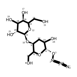 [N-]=[N+]=NO[C@@H]1OC(CO)[C@@H](O[C@@H]2OC(CO)[C@H](O)C(O)[C@H]2O)CC1O